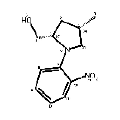 C[C@H]1C[C@@H](CO)N(c2ccccc2[N+](=O)[O-])C1